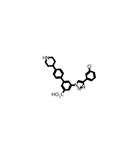 O=C(O)c1cc(-c2ccc(C3CCNCC3)cc2)cc(-n2cc(-c3cccc(Cl)c3)nn2)c1